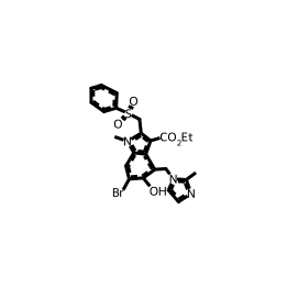 CCOC(=O)c1c(CS(=O)(=O)c2ccccc2)n(C)c2cc(Br)c(O)c(Cn3ccnc3C)c12